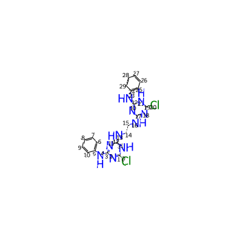 ClC1=NC(Nc2ccccc2)=NC(NCCNC2=NC(Cl)NC(Nc3ccccc3)=N2)N1